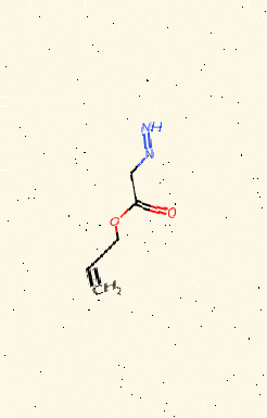 C=CCOC(=O)CN=N